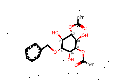 CCCC(=O)O[C@@H]1[C@@H](O)[C@@H](OC(=O)CCC)[C@@H](O)[C@H](OCc2ccccc2)[C@H]1O